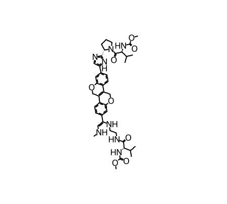 CN/C=C(\NCCNC(=O)[C@@H](NC(=O)OC)C(C)C)c1ccc2c(c1)OCC1=C2COc2cc(-c3cnc([C@@H]4CCCN4C(=O)[C@@H](NC(=O)OC)C(C)C)[nH]3)ccc21